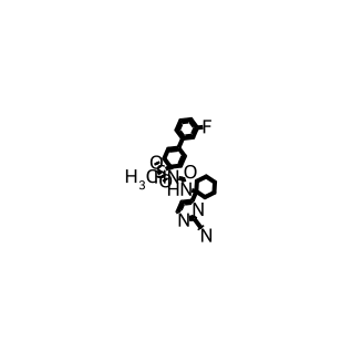 CS(=O)(=O)C1(NC(=O)NC2(c3ccnc(C#N)n3)CCCCC2)C=CC(c2cccc(F)c2)=CC1